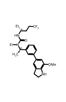 CC[C@H](CCC(F)(F)F)NC(=O)N(CC)[C@H](C)c1cccc(-c2cc3c(c(OC)c2)NCC3)c1